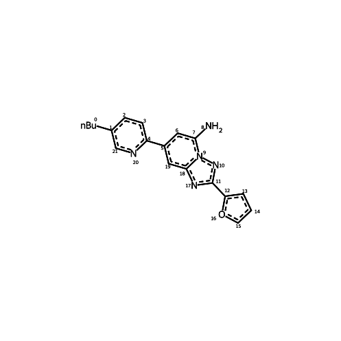 CCCCc1ccc(-c2cc(N)n3nc(-c4ccco4)nc3c2)nc1